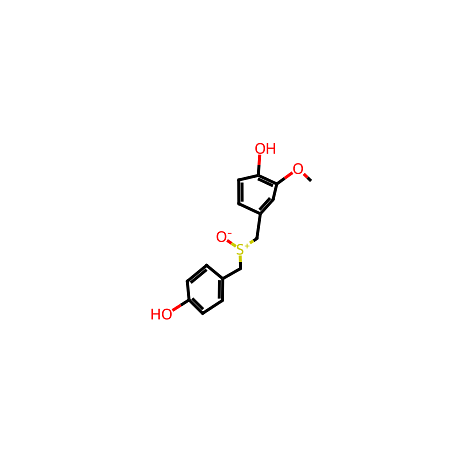 COc1cc(C[S+]([O-])Cc2ccc(O)cc2)ccc1O